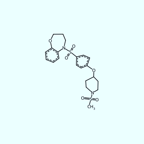 CS(=O)(=O)N1CCC(Oc2ccc(S(=O)(=O)N3CCCOc4ccccc43)cc2)CC1